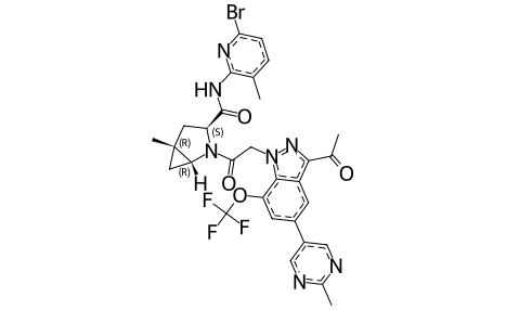 CC(=O)c1nn(CC(=O)N2[C@H](C(=O)Nc3nc(Br)ccc3C)C[C@@]3(C)C[C@@H]23)c2c(OC(F)(F)F)cc(-c3cnc(C)nc3)cc12